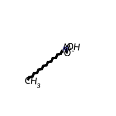 CCCCCCCCCCCCCCCC/[N+]([O-])=N/O